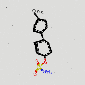 CC(=O)Oc1ccc(-c2ccc(OS(N)(=O)=O)cc2)cc1